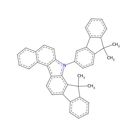 CC1(C)c2ccccc2-c2cc(-n3c4ccc5ccccc5c4c4ccc5c(c43)C(C)(C)c3ccccc3-5)ccc21